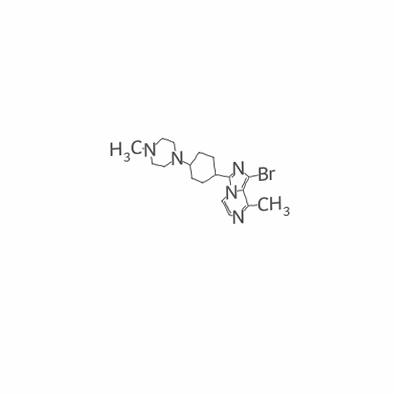 Cc1nccn2c(C3CCC(N4CCN(C)CC4)CC3)nc(Br)c12